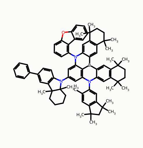 Cc1cc2c(cc1N1c3cc4c(cc3B3c5cc6c(cc5N(c5cccc7oc8ccccc8c57)c5cc(N7c8ccc(-c9ccccc9)cc8C8(C)CCCCC78C)cc1c53)C(C)(C)CCC6(C)C)C(C)(C)CCC4(C)C)C(C)(C)CC2(C)C